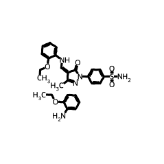 CCOc1ccccc1N.CCOc1ccccc1N/C=C1\C(=O)N(c2ccc(S(N)(=O)=O)cc2)N=C1C